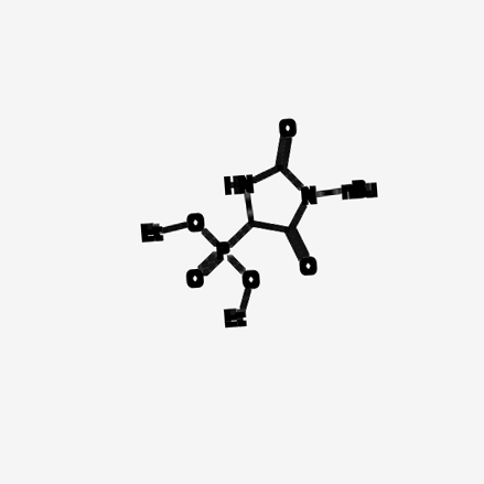 CCCCN1C(=O)NC(P(=O)(OCC)OCC)C1=O